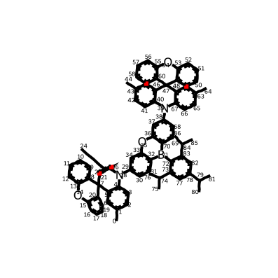 Cc1ccc2c(c1)C1(c3ccccc3Oc3ccccc31)c1cc(C)ccc1N2c1ccc2c(c1)Oc1cc(N3c4ccc(C)cc4C4(c5ccccc5Oc5ccccc54)c4cc(C)ccc43)ccc1B2c1c(C(C)C)cc(C(C)C)cc1C(C)C